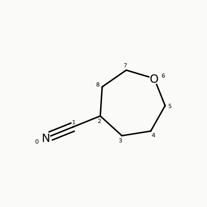 N#CC1CCCOCC1